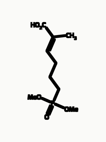 COP(=O)(CCCC=C(C)C(=O)O)OC